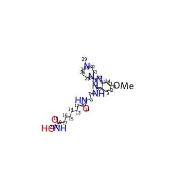 COc1ccc2c(NCCNC(=O)CCCCCCC(=O)NO)nc(N3CCCN(C)CC3)nc2c1